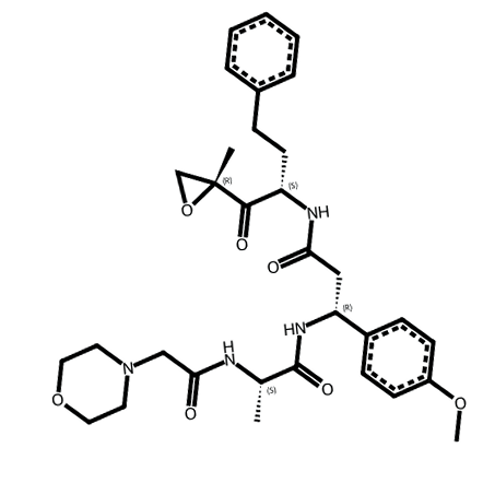 COc1ccc([C@@H](CC(=O)N[C@@H](CCc2ccccc2)C(=O)[C@@]2(C)CO2)NC(=O)[C@H](C)NC(=O)CN2CCOCC2)cc1